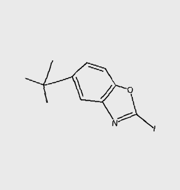 CC(C)(C)c1ccc2oc(I)nc2c1